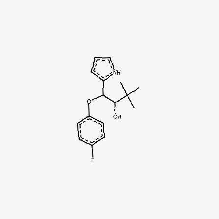 CC(C)(C)C(O)C(Oc1ccc(F)cc1)c1ccc[nH]1